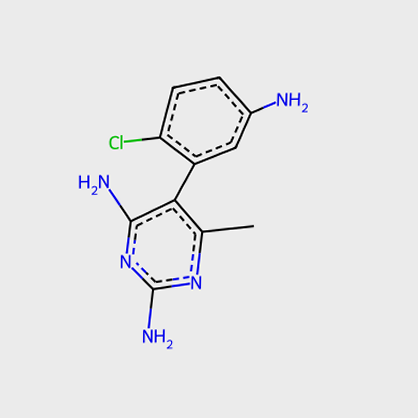 Cc1nc(N)nc(N)c1-c1cc(N)ccc1Cl